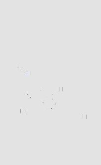 Cc1c(OC[C@@H](C)O)ccc(C(C)N2CC(CNC(=O)CC3CCCC3)C2)c1C